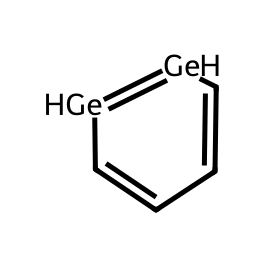 C1=[CH][GeH]=[GeH][CH]=C1